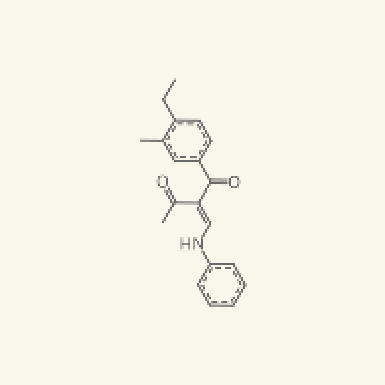 CCc1ccc(C(=O)C(=CNc2ccccc2)C(C)=O)cc1C